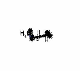 C=C(/C=C1\C=CN(CCC(=O)NCCCCCCNc2c3c(nc4ccccc24)CCCC3)c2ccccc21)Sc1ccccc1C